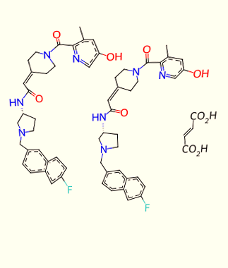 Cc1cc(O)cnc1C(=O)N1CCC(=CC(=O)N[C@@H]2CCN(Cc3ccc4cc(F)ccc4c3)C2)CC1.Cc1cc(O)cnc1C(=O)N1CCC(=CC(=O)N[C@@H]2CCN(Cc3ccc4cc(F)ccc4c3)C2)CC1.O=C(O)/C=C/C(=O)O